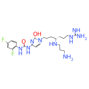 N=C(N)NCCC[C@@H](CCCN1C=CC(NC(=O)Nc2ccc(F)cc2F)=NC1O)NCCCN